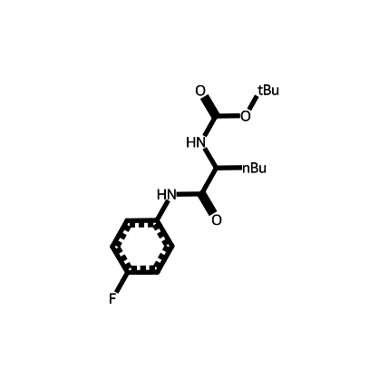 CCCCC(NC(=O)OC(C)(C)C)C(=O)Nc1ccc(F)cc1